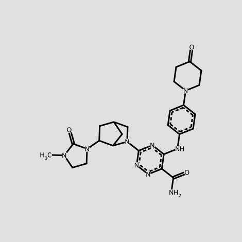 CN1CCN(C2CC3CC2N(c2nnc(C(N)=O)c(Nc4ccc(N5CCC(=O)CC5)cc4)n2)C3)C1=O